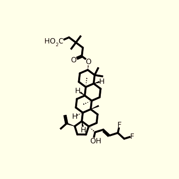 C=C(C)[C@@H]1CC[C@]2(C(O)/C=C/C(F)CF)CC[C@]3(C)[C@H](CC[C@@H]4[C@@]5(C)CC[C@H](OC(=O)CC(C)(C)CC(=O)O)C(C)(C)[C@@H]5CC[C@]43C)[C@@H]12